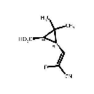 CC1(C)[C@H](C(=O)O)[C@@H]1C=C(F)C#N